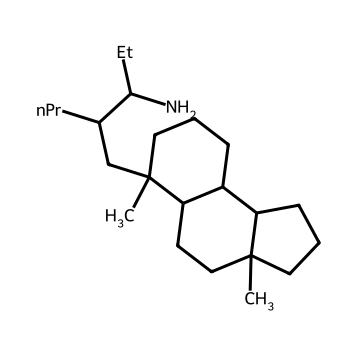 CCCC(CC1(C)CCCC2C3CCCC3(C)CCC21)C(N)CC